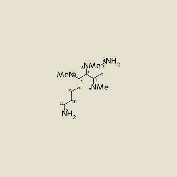 CNC(CCN)C(NC)C(CCCCN)NC